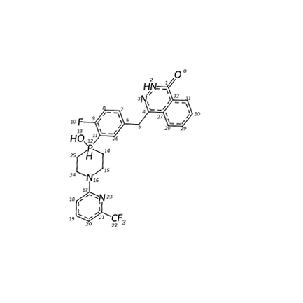 O=c1[nH]nc(Cc2ccc(F)c([PH]3(O)CCN(c4cccc(C(F)(F)F)n4)CC3)c2)c2ccccc12